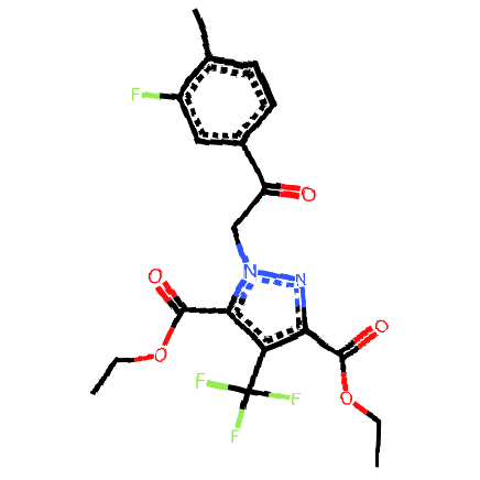 CCOC(=O)c1nn(CC(=O)c2ccc(C)c(F)c2)c(C(=O)OCC)c1C(F)(F)F